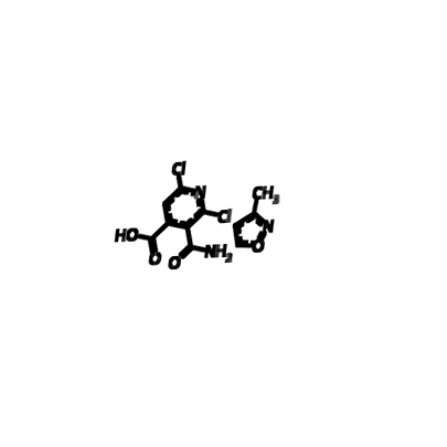 Cc1ccon1.NC(=O)c1c(C(=O)O)cc(Cl)nc1Cl